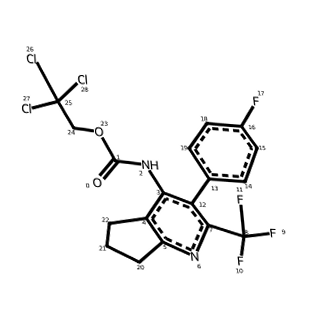 O=C(Nc1c2c(nc(C(F)(F)F)c1-c1ccc(F)cc1)CCC2)OCC(Cl)(Cl)Cl